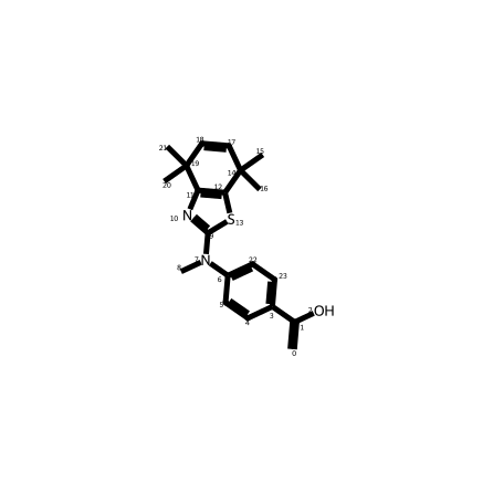 C=C(O)c1ccc(N(C)c2nc3c(s2)C(C)(C)C=CC3(C)C)cc1